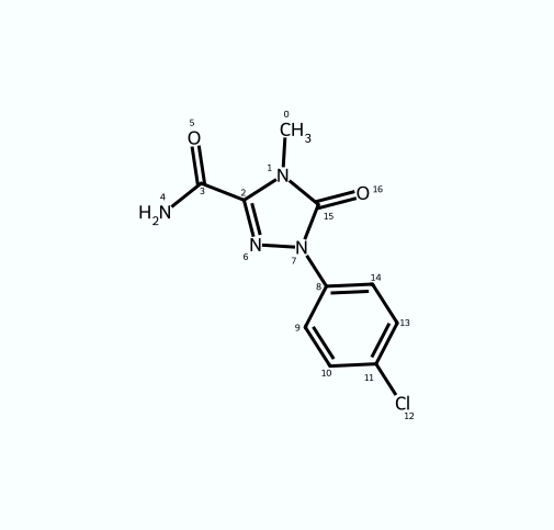 Cn1c(C(N)=O)nn(-c2ccc(Cl)cc2)c1=O